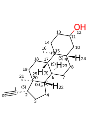 C#C[C@H]1CC[C@H]2[C@@H]3CC[C@H]4CC(O)CC[C@]4(C)[C@H]3CC[C@]12C